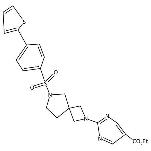 CCOC(=O)c1cnc(N2CC3(CCN(S(=O)(=O)c4ccc(-c5cccs5)cc4)C3)C2)nc1